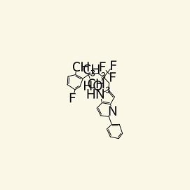 Cc1ccc(F)cc1C(C)(C)CC(O)(Cc1cc2nc(-c3ccccc3)ccc2[nH]1)C(F)(F)F